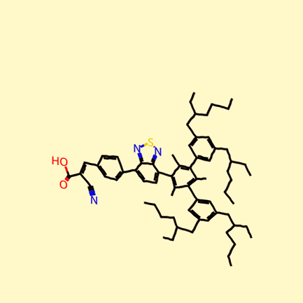 CCCCC(CC)Cc1cc(CC(CC)CCCC)cc(-c2c(C)c(-c3cc(CC(CC)CCCC)cc(CC(CC)CCCC)c3)c(C)c(-c3ccc(-c4ccc(/C=C(\C#N)C(=O)O)cc4)c4nsnc34)c2C)c1